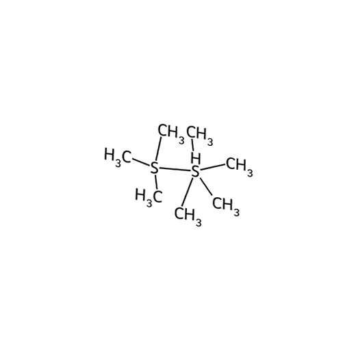 CS(C)(C)[SH](C)(C)(C)C